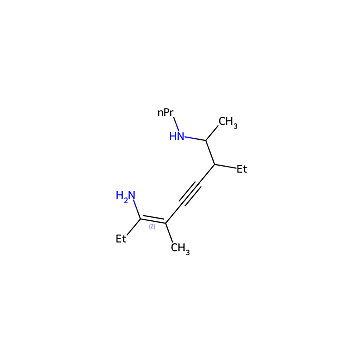 CCCNC(C)C(C#C/C(C)=C(\N)CC)CC